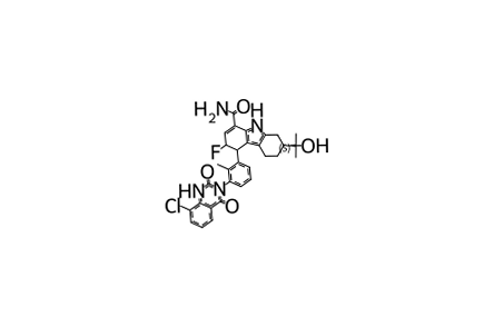 Cc1c(C2c3c([nH]c4c3CC[C@H](C(C)(C)O)C4)C(C(N)=O)=CC2F)cccc1-n1c(=O)[nH]c2c(Cl)cccc2c1=O